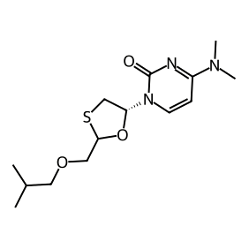 CC(C)COCC1O[C@@H](n2ccc(N(C)C)nc2=O)CS1